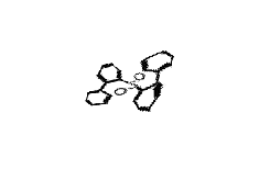 O=S(=O)(c1ccccc1-c1ccccc1)c1ccccc1-c1ccccc1